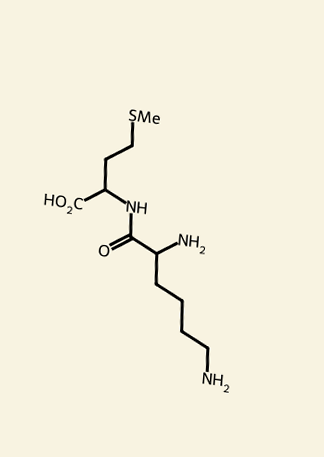 CSCCC(NC(=O)C(N)CCCCN)C(=O)O